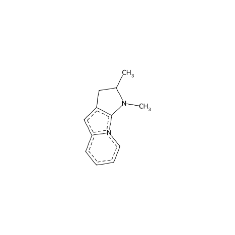 CC1Cc2cc3ccccn3c2N1C